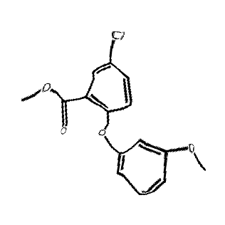 COC(=O)c1cc(Cl)ccc1Oc1cccc(OC)c1